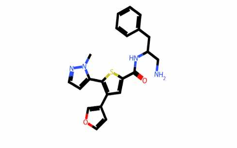 Cn1nccc1-c1sc(C(=O)NC(CN)Cc2ccccc2)cc1-c1ccoc1